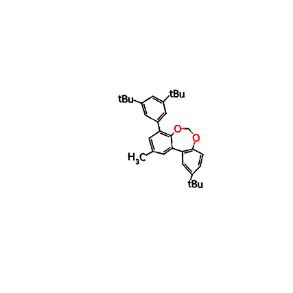 Cc1cc(-c2cc(C(C)(C)C)cc(C(C)(C)C)c2)c2c(c1)-c1cc(C(C)(C)C)ccc1OCO2